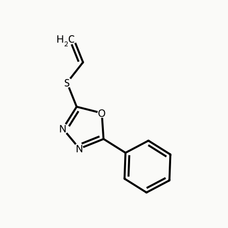 C=CSc1nnc(-c2ccccc2)o1